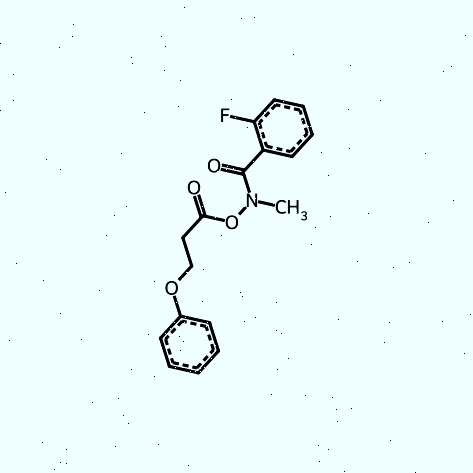 CN(OC(=O)CCOc1ccccc1)C(=O)c1ccccc1F